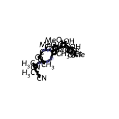 CCC(=O)OC1C(OC)COC(OC2C(O)C(COC)OC(OC3CC(OC)CC4C3C(C)=CC3/C=C/C=C/C(C)C(/C=C/c5nc(C(C)CCCC#N)oc5C)OC(=O)CC/C=C(C)\C=C\C34C)C2OC)C1O